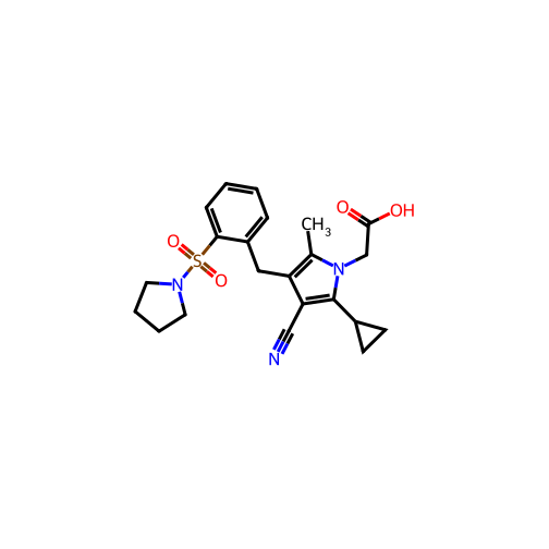 Cc1c(Cc2ccccc2S(=O)(=O)N2CCCC2)c(C#N)c(C2CC2)n1CC(=O)O